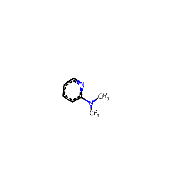 CN(c1ccccn1)C(F)(F)F